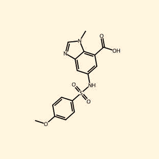 COc1ccc(S(=O)(=O)Nc2cc(C(=O)O)c3c(c2)ncn3C)cc1